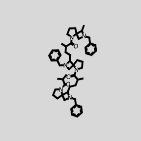 CC(C)C(=O)N1CCCC12CN(Cc1ccccc1)C2CCC(C)C(=O)N1CCCC12CN(Cc1ccccc1)C2CCC(C)C(=O)N1CCCC12CN(Cc1ccccc1)C2C